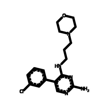 Nc1ncc(-c2cccc(Cl)c2)c(NCCCN2CCOCC2)n1